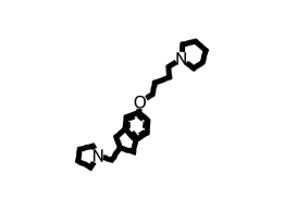 c1cc2c(cc1OCCCCN1CCCCC1)CC(CN1CCCC1)C2